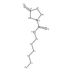 CCCCCCOC(=O)N1CCC(=O)C1